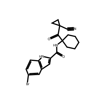 N#CC1(C(=O)C2(NC(=O)c3cc4cc(Br)ccc4[nH]3)CCCCC2)CC1